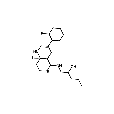 CCCC(O)CNC1NCC[C@H]2NC=C(C3CCCCC3F)CC12